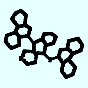 c1ccc2c(c1)cc(Sc1c3ccccc3c(-c3cc4ccccc4c4ccccc34)c3cnccc13)c1ccccc12